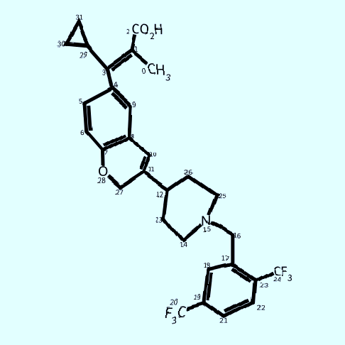 CC(C(=O)O)=C(c1ccc2c(c1)C=C(C1CCN(Cc3cc(C(F)(F)F)ccc3C(F)(F)F)CC1)CO2)C1CC1